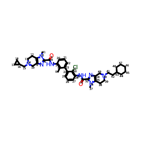 Cc1c(NC(=O)c2nc3c(n2C)CCN(CC2CC2)C3)cccc1-c1cccc(NC(=O)c2nc3c(n2C)CCN(CCC2CCCCC2)C3)c1Cl